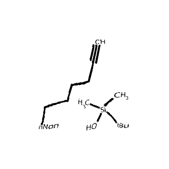 C#CCCCCCCCCCCCCC.CC(C)(C)[Si](C)(C)O